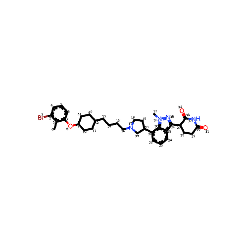 Cc1c(Br)cccc1OC1CCC(CCCCN2CCC(c3cccc4c(C5CCC(=O)NC5=O)nn(C)c34)C2)CC1